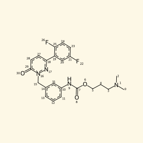 CN(C)CCCOC(=O)Nc1cccc(Cn2nc(-c3cc(F)ccc3F)ccc2=O)c1